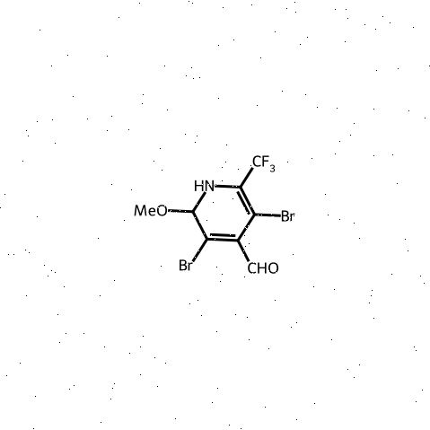 COC1NC(C(F)(F)F)=C(Br)C(C=O)=C1Br